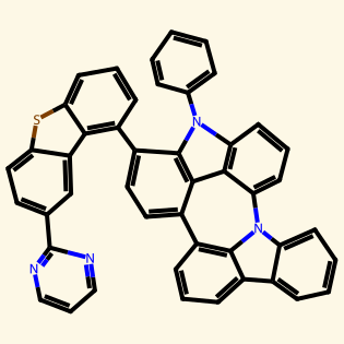 c1ccc(-n2c3cccc4c3c3c(ccc(-c5cccc6sc7ccc(-c8ncccn8)cc7c56)c32)c2cccc3c5ccccc5n4c23)cc1